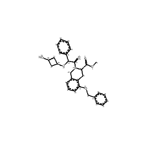 COC(=O)C1Cc2c(cccc2OCc2ccccc2)CN1C(=O)C(OC1CC(O)C1)c1ccccc1